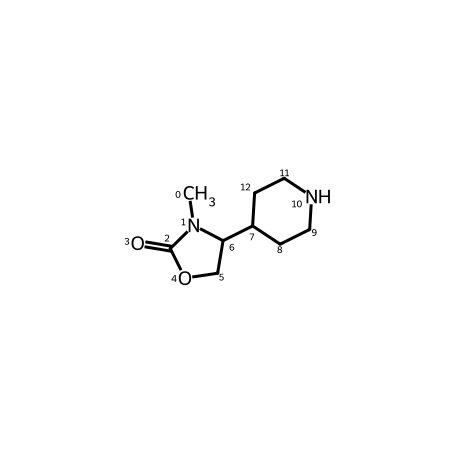 CN1C(=O)OCC1C1CCNCC1